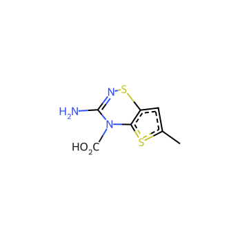 Cc1cc2c(s1)N(C(=O)O)C(N)=NS2